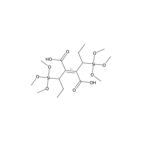 CCC(/C(C(=O)O)=C(\C(=O)O)C(CC)[Si](OC)(OC)OC)[Si](OC)(OC)OC